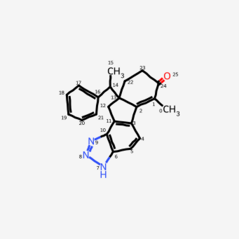 CC1=C2c3ccc4[nH]nnc4c3CC2(C(C)c2ccccc2)CCC1=O